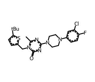 Cc1nc(N2CCN(c3ccc(F)c(Cl)c3)CC2)nc(=O)n1Cc1ccc(C(C)(C)C)s1